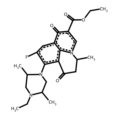 CCOC(=O)c1cn2c3c(c(N4CC(C)N(CC)CC4C)c(F)cc3c1=O)C(=O)CC2C